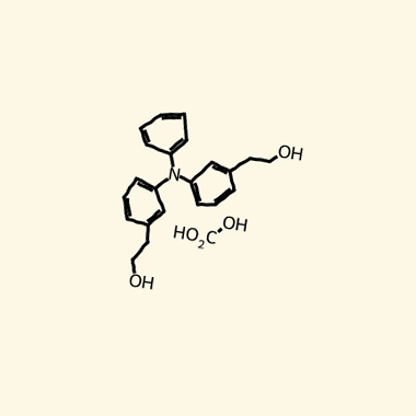 O=C(O)O.OCCc1cccc(N(c2ccccc2)c2cccc(CCO)c2)c1